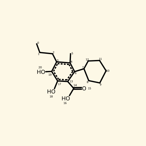 CCCc1c(C)c(C2CCCCC2)c(C(=O)O)c(O)c1O